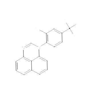 FC(F)(F)c1ccc(N2C=Nc3cccc4cccc2c34)c(Br)c1